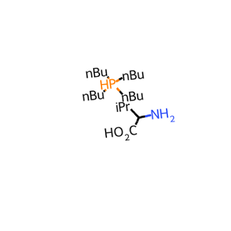 CC(C)C(N)C(=O)O.CCCC[PH](CCCC)(CCCC)CCCC